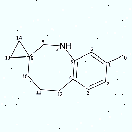 Cc1ccc2c(c1)NCC1(CCC2)CC1